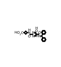 O=C(NC1CC(C(=O)O)C1)c1ncc(C(=O)NC(c2ccccc2)c2ccccc2)c(O)n1